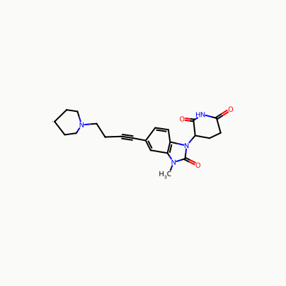 Cn1c(=O)n(C2CCC(=O)NC2=O)c2ccc(C#CCCN3CC[CH]CC3)cc21